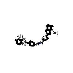 Cc1ccc2c(c1S)CC(c1ccc(/N=N/Nc3ccc(-c4nc5ccc(C)c(S)c5s4)cc3)cc1)C2